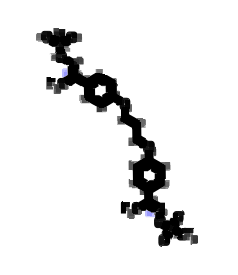 O=[SH](=O)O/N=C(/c1ccc(OCCCOc2ccc(/C(=N/OS(=O)(=O)C(F)(F)F)C(F)(F)F)cc2)cc1)C(F)(F)F